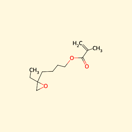 C=C(C)C(=O)OCCCCC1(CC)CO1